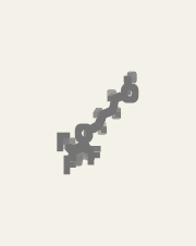 COCCCCOC(F)=C(F)F